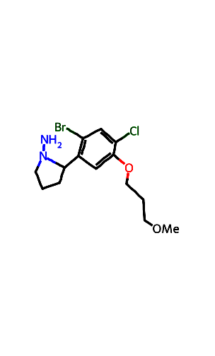 COCCCOc1cc(C2CCCN2N)c(Br)cc1Cl